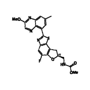 COC(=O)NC[C@@H]1Cc2c(c(F)cc3nc(-c4cc(C)cc5nc(OC)cnc45)sc23)O1